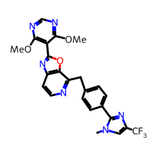 COc1ncnc(OC)c1-c1nc2ccnc(Cc3ccc(-c4nc(C(F)(F)F)cn4C)cc3)c2o1